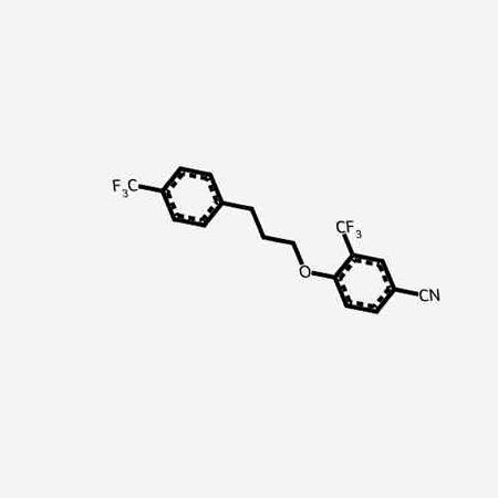 N#Cc1ccc(OCCCc2ccc(C(F)(F)F)cc2)c(C(F)(F)F)c1